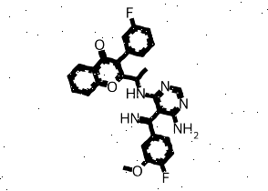 COc1cc(C(=N)c2c(N)ncnc2NC(C)c2oc3ccccc3c(=O)c2-c2cccc(F)c2)ccc1F